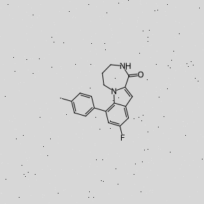 Cc1ccc(-c2cc(F)cc3cc4n(c23)CCCNC4=O)cc1